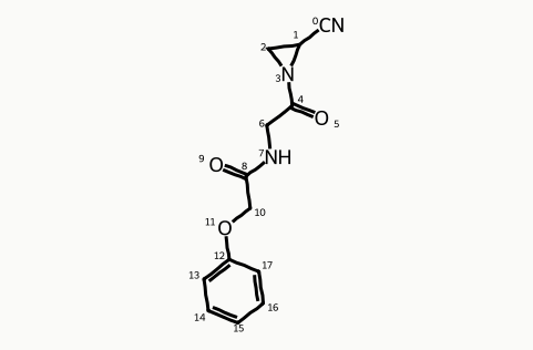 N#CC1CN1C(=O)CNC(=O)COc1ccccc1